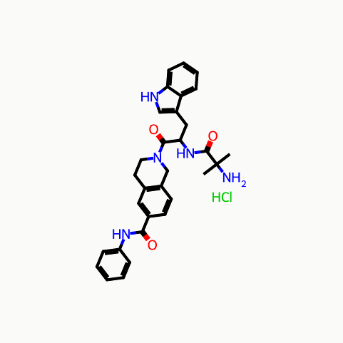 CC(C)(N)C(=O)NC(Cc1c[nH]c2ccccc12)C(=O)N1CCc2cc(C(=O)Nc3ccccc3)ccc2C1.Cl